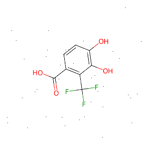 O=C(O)c1ccc(O)c(O)c1C(F)(F)F